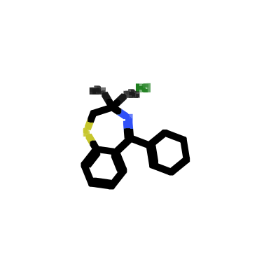 CCCCC1(CCCC)CSc2ccccc2C(C2=CCCCC2)=N1.Cl